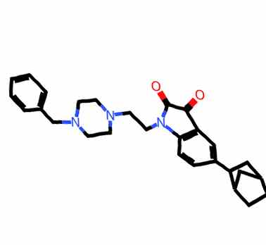 O=C1C(=O)N(CCN2CCN(Cc3ccccc3)CC2)c2ccc(C3CC4CCC3C4)cc21